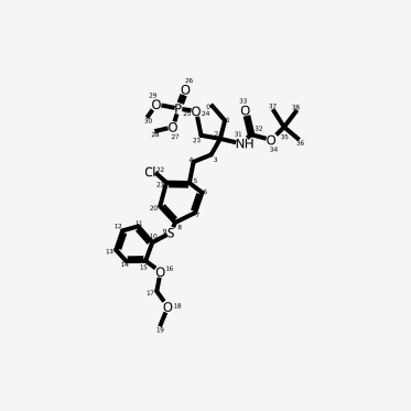 CCC(CCc1ccc(Sc2ccccc2OCOC)cc1Cl)(COP(=O)(OC)OC)NC(=O)OC(C)(C)C